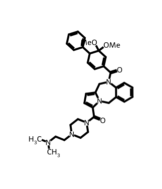 COC1(OC)C=C(C(=O)N2Cc3ccc(C(=O)N4CCN(CCN(C)C)CC4)n3Cc3ccccc32)C=CC1c1ccccc1